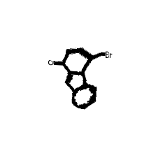 O=C1CCC(Br)C2C1=Cc1ccccc12